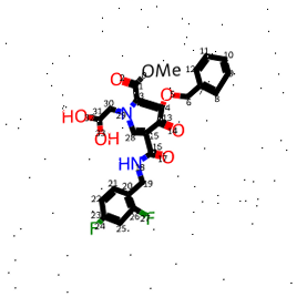 COC(=O)c1c(OCc2ccccc2)c(=O)c(C(=O)NCc2ccc(F)cc2F)cn1CC(O)O